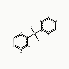 C[Si](C)(c1ccccc1)c1cccnc1